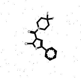 O=C(C1C=C(c2ccccc2)SC1Cl)N1CCC(F)(F)CC1